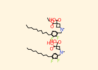 CCCCCCCCCCc1ccc(CN(C)C2CC(C(=O)O)(C(=O)O)C2)c(F)c1F.CCCCCCCCCCc1ccc(CN(C)C2CC(C(=O)O)(C(=O)OCC)C2)c(F)c1F